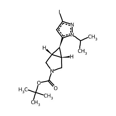 CC(C)n1nc(I)cc1[C@H]1[C@@H]2CN(C(=O)OC(C)(C)C)C[C@@H]21